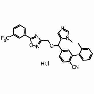 Cc1ccccc1-c1cc(C(OCc2noc(-c3cccc(C(F)(F)F)c3)n2)c2cncn2C)ccc1C#N.Cl